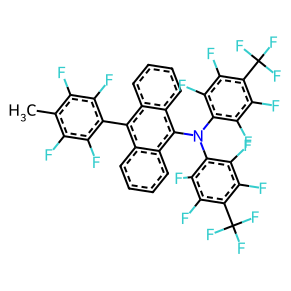 Cc1c(F)c(F)c(-c2c3ccccc3c(N(c3c(F)c(F)c(C(F)(F)F)c(F)c3F)c3c(F)c(F)c(C(F)(F)F)c(F)c3F)c3ccccc23)c(F)c1F